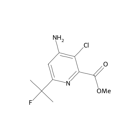 COC(=O)c1nc(C(C)(C)F)cc(N)c1Cl